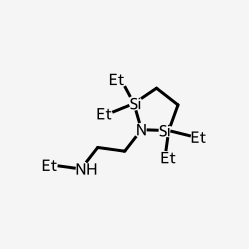 [CH2]CNCCN1[Si](CC)(CC)CC[Si]1(CC)CC